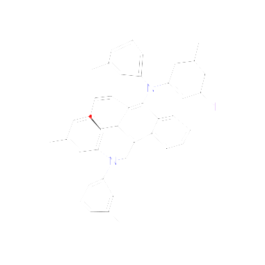 Cc1cccc(N(Cc2c3ccccc3c(N(C3=CC(I)CC(C)C3)c3cccc(C)c3)c3ccccc23)c2cccc(C)c2)c1